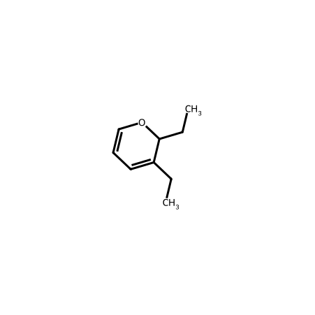 CCC1=CC=COC1CC